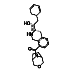 O=C(c1cccc2c1CN[C@H]([C@H](O)CC1C=CC=CC1)C2)N1C2CCC1COC2